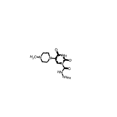 CCCCCCNC(=O)n1cc(N2CCN(C)CC2)c(=O)[nH]c1=O